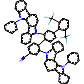 N#Cc1ccc(-c2ccc(-c3c(C(F)(F)F)cccc3C(F)(F)F)cc2-n2c3ccccc3c3c2ccc2c4ccccc4n(-c4ccccc4)c23)c(-n2c3ccccc3c3c2ccc2c4ccccc4n(-c4ccccc4)c23)c1